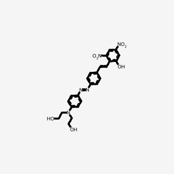 O=[N+]([O-])c1cc(O)c(C=Cc2ccc(N=Nc3ccc(N(CCO)CCO)cc3)cc2)c([N+](=O)[O-])c1